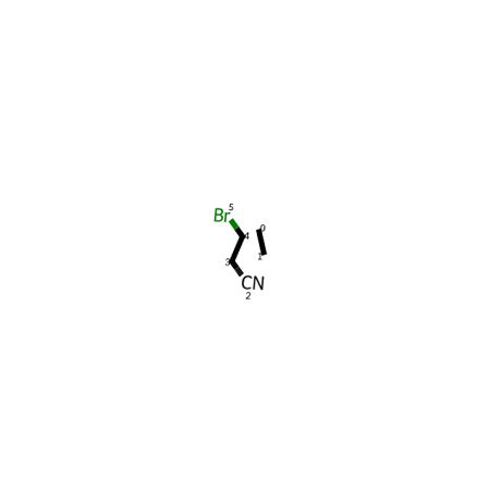 CC.N#CCCBr